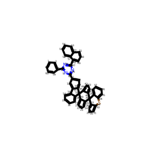 c1ccc(-c2nc(-c3ccc4c(c3)-c3ccccc3C43c4ccccc4C4(c5ccccc5Sc5ccccc54)c4ccccc43)nc(-c3cccc4ccccc34)n2)cc1